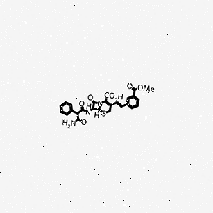 COC(=O)c1cccc(C=CC2=C(C(=O)O)N3C(=O)C(NC(=O)C(C(N)=O)c4ccccc4)[C@@H]3SC2)c1